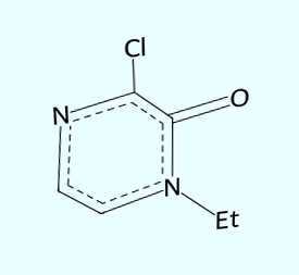 CCn1ccnc(Cl)c1=O